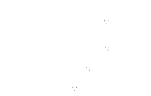 CSc1ccccc1-c1ncnc(SC)c1-c1ccccc1